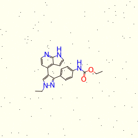 CCOC(=O)Nc1ccc(-c2nn(CC)cc2-c2ccnc3[nH]ccc23)cc1